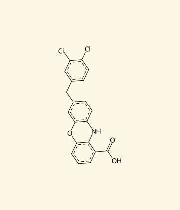 O=C(O)c1cccc2c1Nc1ccc(Cc3ccc(Cl)c(Cl)c3)cc1O2